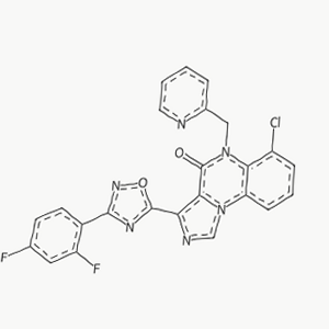 O=c1c2c(-c3nc(-c4ccc(F)cc4F)no3)ncn2c2cccc(Cl)c2n1Cc1ccccn1